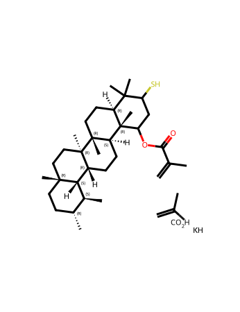 C=C(C)C(=O)O.C=C(C)C(=O)OC1CC(S)C(C)(C)[C@@H]2CC[C@]3(C)[C@H](CC[C@@H]4[C@@H]5[C@@H](C)[C@H](C)CC[C@]5(C)CC[C@]43C)[C@@]12C.[KH]